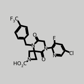 O=C(O)N1CC2(C1)C(=O)N(c1ncc(Cl)cc1F)CC(=O)N2Cc1ccc(C(F)(F)F)cc1